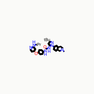 CC(C)Nc1cc(Oc2ccc(NC(=O)Nc3cc(C(C)(C)C)nn3-c3ccc4c(c3)CCN(C)C4)cc2)ccn1